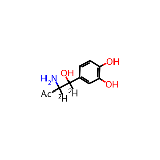 [2H]C(N)(C(C)=O)C([2H])(O)c1ccc(O)c(O)c1